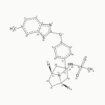 Cc1ccc2nc(Oc3ccc(CN4[C@@H]5CC[C@H]4CC(NS(C)(=O)=O)C5)cc3)sc2c1